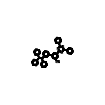 N#Cc1cc(-c2cccc(C(=C(c3ccccc3)c3ccccc3)c3ccccc3)c2)cc(-c2nc(-c3ccccc3)nc(-c3ccccc3)n2)c1